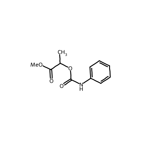 COC(=O)C(C)OC(=O)Nc1ccccc1